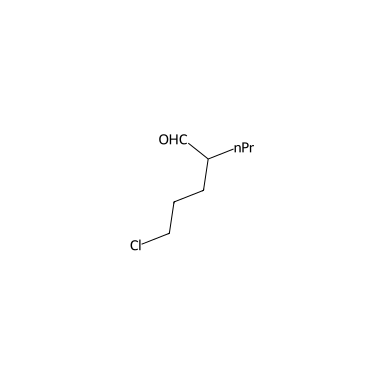 CCCC(C=O)CCCCl